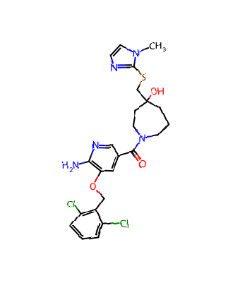 Cn1ccnc1SCC1(O)CCCN(C(=O)c2cnc(N)c(OCc3c(Cl)cccc3Cl)c2)CC1